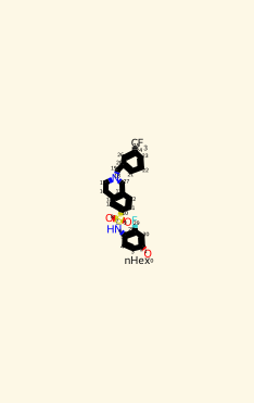 CCCCCCOc1ccc(NS(=O)(=O)c2ccc3c(c2)CCN(Cc2cccc(C(F)(F)F)c2)C3)c(F)c1